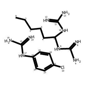 CCCCCC(NC(=N)N)NC(=N)N.N=C(N)Nc1ccc(Cl)cc1